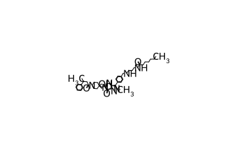 CCCCCCC(=O)NCCCNCc1ccc(-c2c3ncn(CC4(O)CCN(C(=O)CC(C)c5ccccc5)CC4)c(=O)c3nn2C)cc1